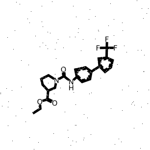 CCOC(=O)C1CCCN(C(=O)Nc2ccc(-c3cccc(C(F)(F)F)c3)cc2)C1